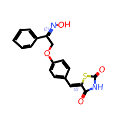 O=C1NC(=O)/C(=C/c2ccc(OC/C(=N\O)c3ccccc3)cc2)S1